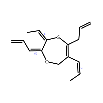 C=C/C=C1/OCC(/C=C\C)=C(CC=C)S/C1=C/C